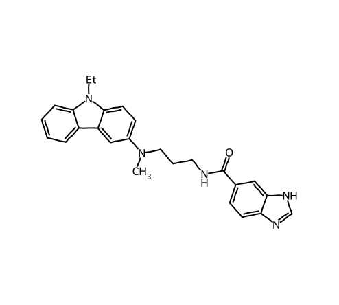 CCn1c2ccccc2c2cc(N(C)CCCNC(=O)c3ccc4nc[nH]c4c3)ccc21